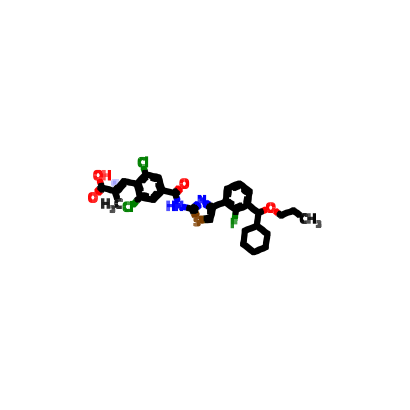 CCCOC(c1cccc(-c2csc(NC(=O)c3cc(Cl)c(/C=C(\C)C(=O)O)c(Cl)c3)n2)c1F)C1CCCCC1